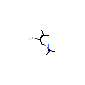 CCCC(CN=C(C)C)=C(C)C